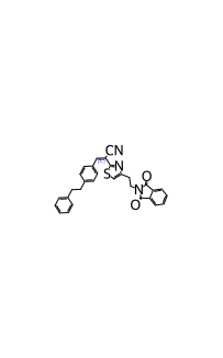 N#C/C(=C/c1ccc(CCc2ccccc2)cc1)c1nc(CCN2C(=O)c3ccccc3C2=O)cs1